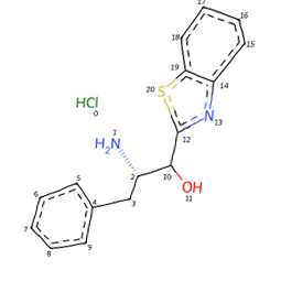 Cl.N[C@@H](Cc1ccccc1)C(O)c1nc2ccccc2s1